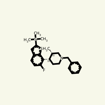 C[C@@H]1CN(Cc2ccccc2)CC[C@@H]1c1c(F)ccc2cc([Si](C)(C)C)sc12